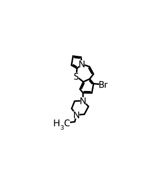 CCN1CCN(c2cc(Br)c3c(c2)Sc2cccn2C=C3)CC1